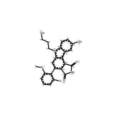 COc1cccc(Cl)c1-c1cc2c(c3c1C(=O)NC3=O)c1cc(O)ccc1n2CCCO